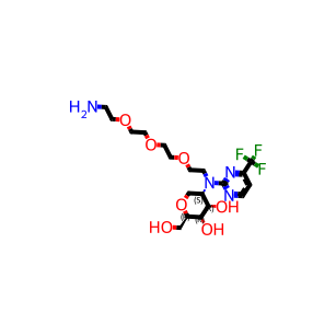 NCCOCCOCCOCCN(c1nccc(C(F)(F)F)n1)[C@H]1CO[C@H](CO)[C@H](O)[C@@H]1O